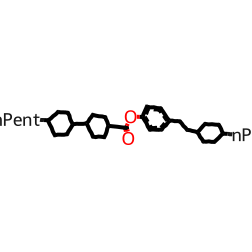 CCCCCC1CCC(C2CCC(C(=O)Oc3ccc(CCC4CCC(CCC)CC4)cc3)CC2)CC1